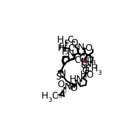 CO[C@@H](C)c1nc2c(cc1-c1c3c4cc(ccc4n1CC(F)(F)F)-c1csc(n1)C[C@H](NC(=O)[C@H]1C[C@@H]1C)C(=O)N1CCC[C@H](N1)C(=O)OCC(C)(C)C3)C1(CCO2)CCN(C)CC1